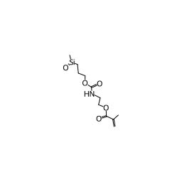 C=C(C)C(=O)OCCNC(=O)OCCC[Si](C)=O